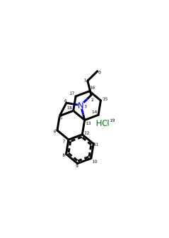 CCCN1CC2Cc3ccccc3C13CCCCC23.Cl